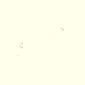 CS(=O)(=O)NCCCc1ccc(-c2ccccc2C(N)=S)cc1